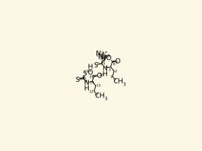 CCCC(NC(=S)[S-])C(=O)O.CCCC(NC(=S)[S-])C(=O)O.[Na+].[Na+]